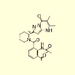 Cc1[nH]c2cc([C@@H]3CCCCN3C(=O)c3cccc(F)c3NS(C)(=O)=O)nn2c(=O)c1C